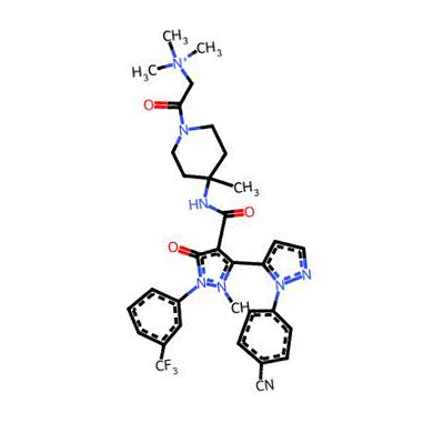 Cn1c(-c2ccnn2-c2ccc(C#N)cc2)c(C(=O)NC2(C)CCN(C(=O)C[N+](C)(C)C)CC2)c(=O)n1-c1cccc(C(F)(F)F)c1